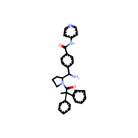 CC(C(=O)N1CCCC1C(N)c1ccc(C(=O)Nc2ccncc2)cc1)(c1ccccc1)c1ccccc1